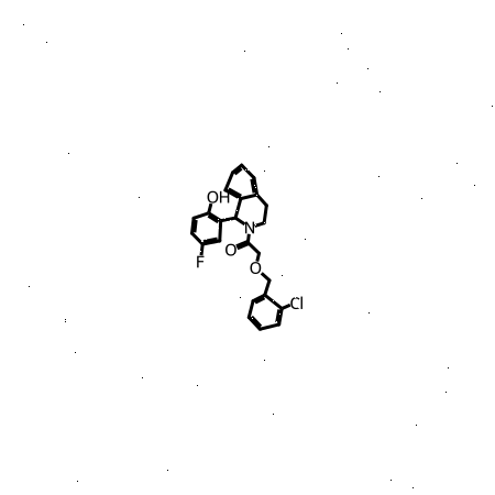 O=C(COCc1ccccc1Cl)N1CCc2ccccc2C1c1cc(F)ccc1O